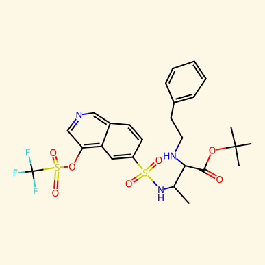 CC(NS(=O)(=O)c1ccc2cncc(OS(=O)(=O)C(F)(F)F)c2c1)C(NCCc1ccccc1)C(=O)OC(C)(C)C